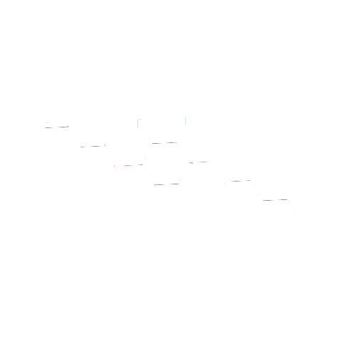 CCCCCOC1CCC(OCCCC)C(F)C1F